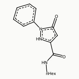 CCCCCCNC(=O)c1cc(=O)n(-c2ccccc2)[nH]1